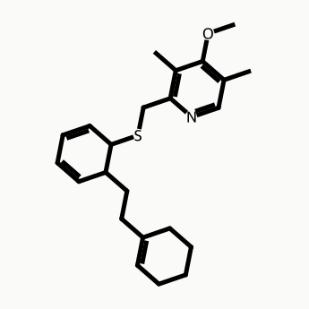 COc1c(C)cnc(CSC2C=CC=CC2CCC2=CCCCC2)c1C